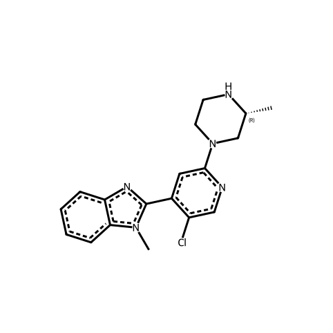 C[C@@H]1CN(c2cc(-c3nc4ccccc4n3C)c(Cl)cn2)CCN1